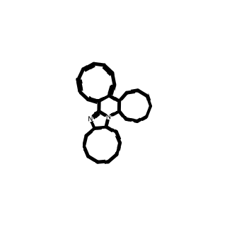 c1ccccc2c(ccc1)C1=NC3CCCCCCCCC3N1C1CCCCCCCC21